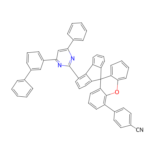 N#Cc1ccc(-c2cccc3c2Oc2ccccc2C32c3ccccc3-c3c(-c4nc(-c5ccccc5)cc(-c5cccc(-c6ccccc6)c5)n4)cccc32)cc1